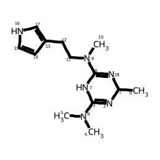 CC1N=C(N(C)C)NC(N(C)CCc2cc[nH]c2)=N1